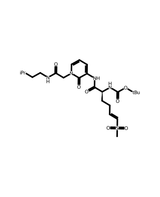 CC(C)CCNC(=O)Cn1cccc(NC(=O)[C@H](CC/C=C/S(C)(=O)=O)NC(=O)OC(C)(C)C)c1=O